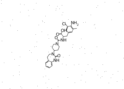 Cc1cc(CC(NC(=O)N2CCC(N3CCc4ccccc4NC3=O)CC2)C(=O)O)cc(Cl)c1N